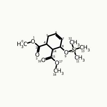 COC(=O)C1CC=CC(O[Si](C)(C)C)C1C(=O)OC